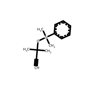 C#CC(C)(C)O[Si](C)(C)c1ccccc1